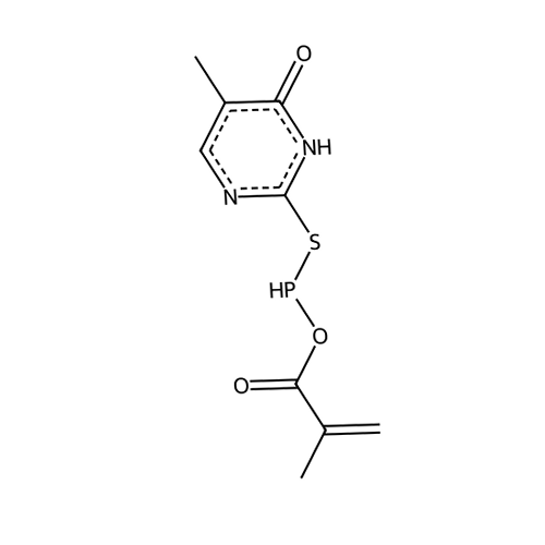 C=C(C)C(=O)OPSc1ncc(C)c(=O)[nH]1